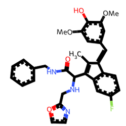 COc1cc(C=C2C(C)=C(C(NCc3ncco3)C(=O)NCc3ccccc3)c3cc(F)ccc32)cc(OC)c1O